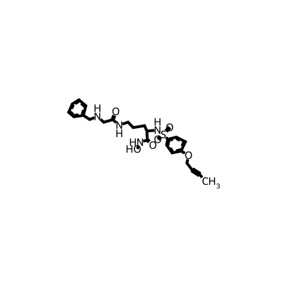 CC#CCOc1ccc(S(=O)(=O)NC(CCCNC(=O)CNCc2ccccc2)C(=O)NO)cc1